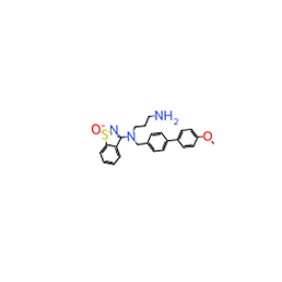 COc1ccc(-c2ccc(CN(CCCN)c3n[s+]([O-])c4ccccc34)cc2)cc1